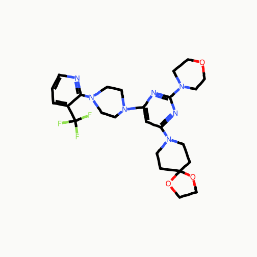 FC(F)(F)c1cccnc1N1CCN(c2cc(N3CCC4(CC3)OCCO4)nc(N3CCOCC3)n2)CC1